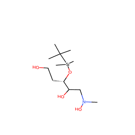 CN(O)CC(O)[C@H](CCO)O[Si](C)(C)C(C)(C)C